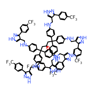 O=C(CC(c1ccc(NCc2c[nH]nc2-c2ccc(C(F)(F)F)cc2)cc1)(c1ccc(NCc2c[nH]nc2-c2ccc(C(F)(F)F)cc2)cc1)c1ccc(NCc2c[nH]nc2-c2ccc(C(F)(F)F)cc2)cc1)CC(c1ccc(NCc2c[nH]nc2-c2ccc(C(F)(F)F)cc2)cc1)(c1ccc(NCc2c[nH]nc2-c2ccc(C(F)(F)F)cc2)cc1)c1ccc(NCc2c[nH]nc2-c2ccc(C(F)(F)F)cc2)cc1